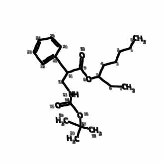 CCCCCC(CC)OC(=O)C(CNC(=O)OC(C)(C)C)c1ccccc1